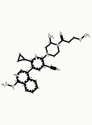 COCCC(=O)N1CCN(c2nc(C3CC3)c(-c3cnc(OC)c4ccccc34)cc2C#N)CC1C